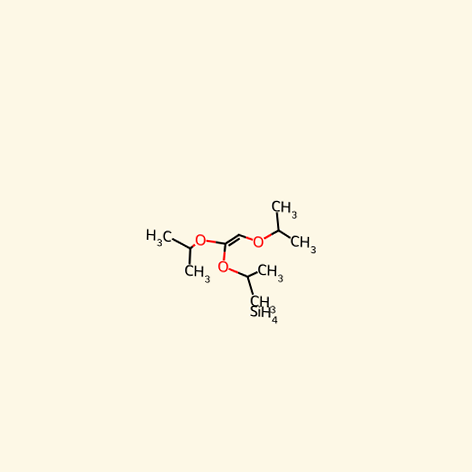 CC(C)OC=C(OC(C)C)OC(C)C.[SiH4]